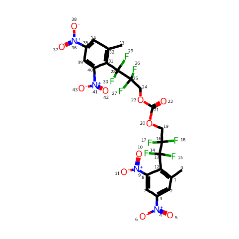 Cc1cc([N+](=O)[O-])cc([N+](=O)[O-])c1C(F)(F)C(F)(F)COC(=O)OCC(F)(F)C(F)(F)c1c(C)cc([N+](=O)[O-])cc1[N+](=O)[O-]